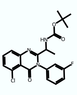 CC(NC(=O)OC(C)(C)C)c1nc2cccc(Cl)c2c(=O)n1-c1cccc(F)c1